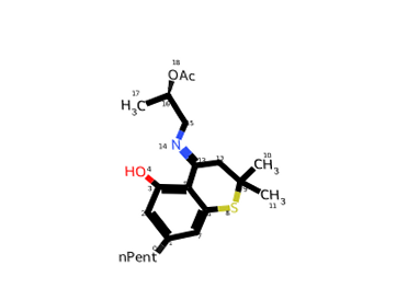 CCCCCc1cc(O)c2c(c1)SC(C)(C)CC2=NC[C@@H](C)OC(C)=O